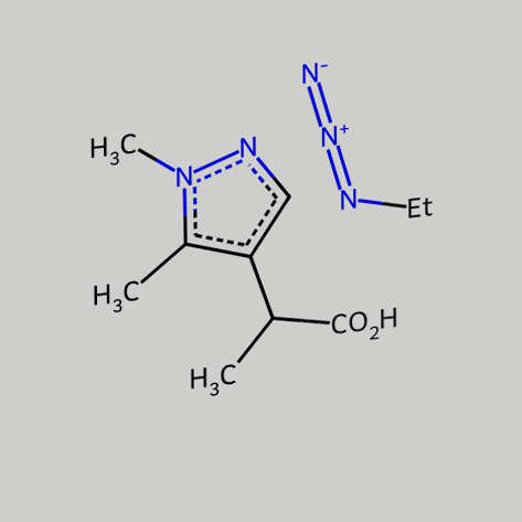 CCN=[N+]=[N-].Cc1c(C(C)C(=O)O)cnn1C